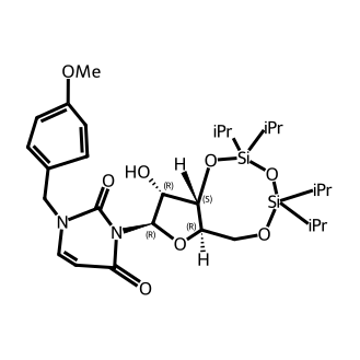 COc1ccc(Cn2ccc(=O)n([C@@H]3O[C@@H]4CO[Si](C(C)C)(C(C)C)O[Si](C(C)C)(C(C)C)O[C@H]4[C@H]3O)c2=O)cc1